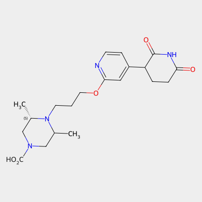 CC1CN(C(=O)O)C[C@H](C)N1CCCOc1cc(C2CCC(=O)NC2=O)ccn1